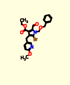 CCOC(=O)c1c(Cc2ccc(OC)nc2)c(Br)n(COCc2ccccc2)c1C=O